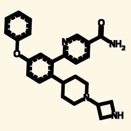 NC(=O)c1ccc(-c2cc(Oc3ccccc3)ccc2C2CCN(C3CNC3)CC2)nc1